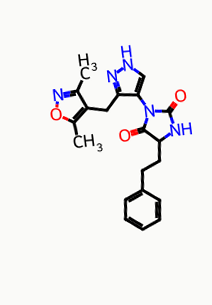 Cc1noc(C)c1Cc1n[nH]cc1N1C(=O)NC(CCc2ccccc2)C1=O